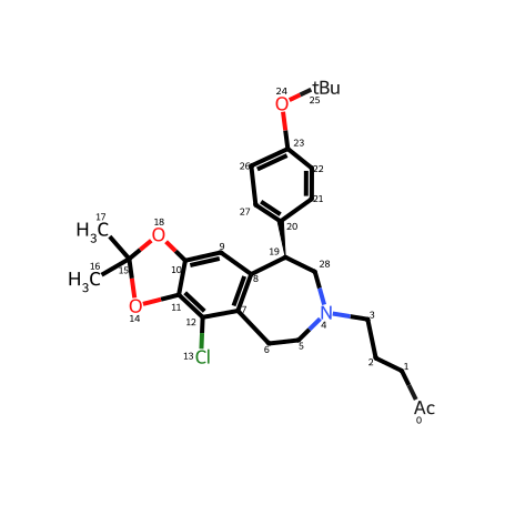 CC(=O)CCCN1CCc2c(cc3c(c2Cl)OC(C)(C)O3)[C@@H](c2ccc(OC(C)(C)C)cc2)C1